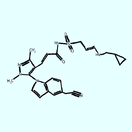 Cc1nn(C)c(-n2ccc3cc(C#N)ccc32)c1/C=C/C(=O)NS(=O)(=O)CC=CNCC1CC1